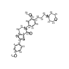 COc1ccc(-c2nc3c(s2)C(=O)N(c2ccc(CCCN4CCOCC4)c(OC)c2)CC3)cc1